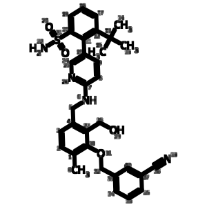 Cc1ccc(CNc2ccc(-c3c(C(C)(C)C)cccc3S(N)(=O)=O)cn2)c(CO)c1OCc1cccc(C#N)c1